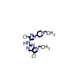 CCN1CCC(n2cc(Nc3ncc4c(Cl)cn(CC)c4n3)c(Cl)n2)CC1